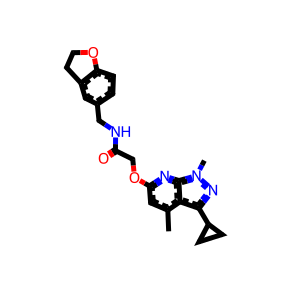 Cc1cc(OCC(=O)NCc2ccc3c(c2)CCO3)nc2c1c(C1CC1)nn2C